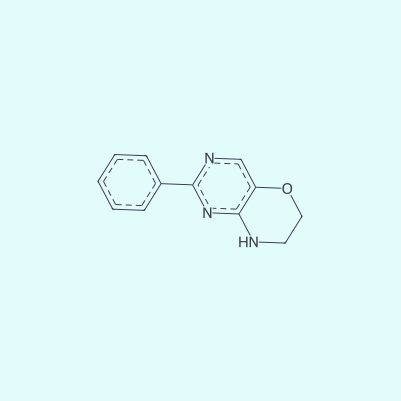 c1ccc(-c2ncc3c(n2)NCCO3)cc1